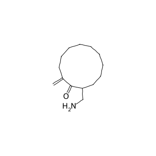 C=C1CCCCCCCCCC(CN)C1=O